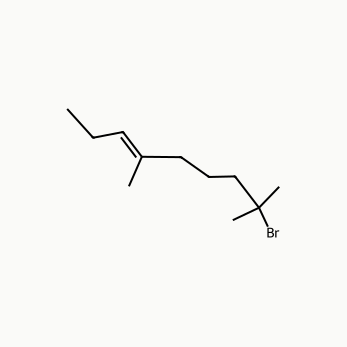 CC/C=C(\C)CCCC(C)(C)Br